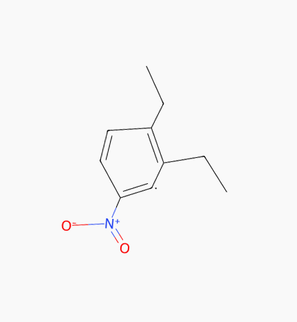 CCc1[c]c([N+](=O)[O-])ccc1CC